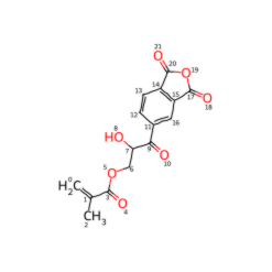 C=C(C)C(=O)OCC(O)C(=O)c1ccc2c(c1)C(=O)OC2=O